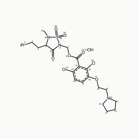 CC(C)CCC1C(=O)N(COC(=O)c2c(Cl)ccc(OCCN3CCCC3)c2Cl)S(=O)(=O)N1C.Cl